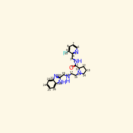 O=C(NCc1ncccc1F)C1CCCN1CCNCc1nc2ccccc2[nH]1